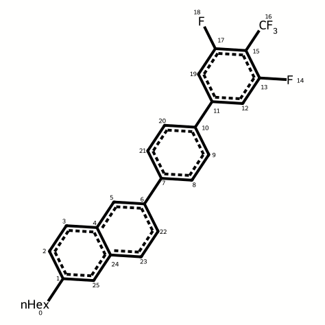 CCCCCCc1ccc2cc(-c3ccc(-c4cc(F)c(C(F)(F)F)c(F)c4)cc3)ccc2c1